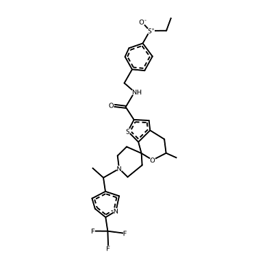 CC[S+]([O-])c1ccc(CNC(=O)c2cc3c(s2)C2(CCN(C(C)c4ccc(C(F)(F)F)nc4)CC2)OC(C)C3)cc1